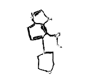 COc1c(N2CCOCC2)ccc2nc[nH]c12